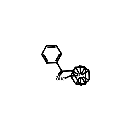 O=C[C]12[CH]3[CH]4[CH]5[CH]1[Fe]45321678[CH]2[CH]1[CH]6[C]7(C(=O)c1ccccc1)[CH]28